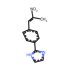 CC(=Cc1ccc(-c2ncc[nH]2)cc1)[N+](=O)[O-]